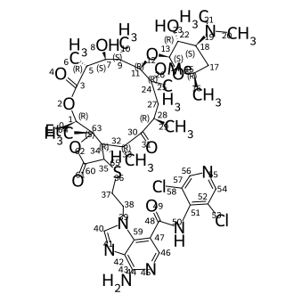 CC[C@H]1OC(=O)[C@H](C)[C@@H](O)[C@H](C)[C@@H](O[C@@H]2O[C@H](C)C[C@H](N(C)C)[C@H]2O)[C@](C)(OC)C[C@@H](C)C(=O)[C@H](C)[C@H]2C(SCCn3cnc4c(N)ncc(C(=O)Nc5c(Cl)cncc5Cl)c43)C(=O)O[C@@]21C